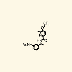 CC(=O)Nc1cc(C(C)NC(=O)c2ccc(OCC(F)(F)F)c(C)n2)ccn1